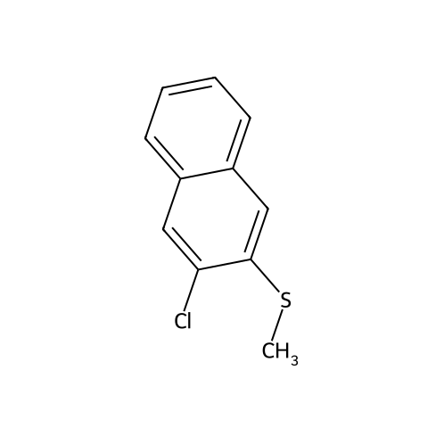 CSc1cc2ccccc2cc1Cl